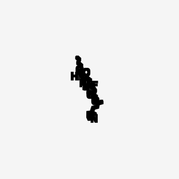 C=C(CCc1cccnc1)OC[C@H](CC(F)(F)N1C=CC(NC(=O)OCCCC)=NC1=C)OC